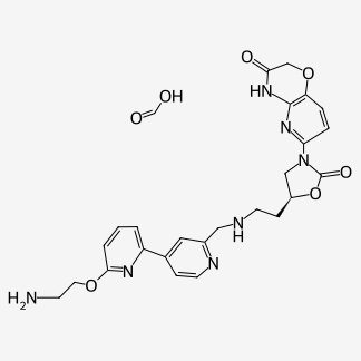 NCCOc1cccc(-c2ccnc(CNCC[C@H]3CN(c4ccc5c(n4)NC(=O)CO5)C(=O)O3)c2)n1.O=CO